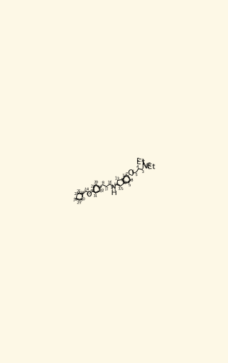 CCN(CC)CCCOc1ccc2c(c1)CC(NCCCc1ccc(OCc3ccccc3)cc1)=C2